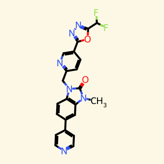 Cn1c(=O)n(Cc2ccc(-c3nnc(C(F)F)o3)cn2)c2ccc(-c3ccncc3)cc21